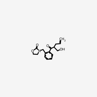 C=CCC(CO)C(=O)c1ccccc1CN1CCOC1=O